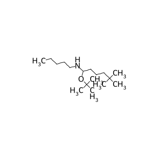 CCCCCNC(CCCC(C)(C)C)OC(C)(C)C